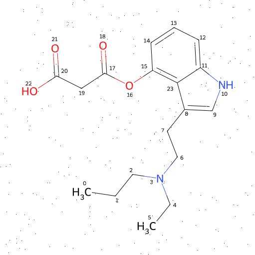 CCCN(CC)CCc1c[nH]c2cccc(OC(=O)CC(=O)O)c12